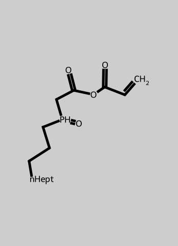 C=CC(=O)OC(=O)C[PH](=O)CCCCCCCCCC